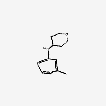 Ic1cccc(NC2CCOCC2)c1